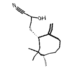 C=C1CC[C@H](C)C(C)(C)[C@@H]1CC(O)C#N